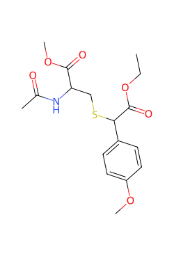 CCOC(=O)C(SCC(NC(C)=O)C(=O)OC)c1ccc(OC)cc1